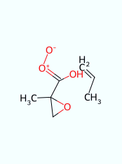 C=CC.CC1(C(O)=[O+][O-])CO1